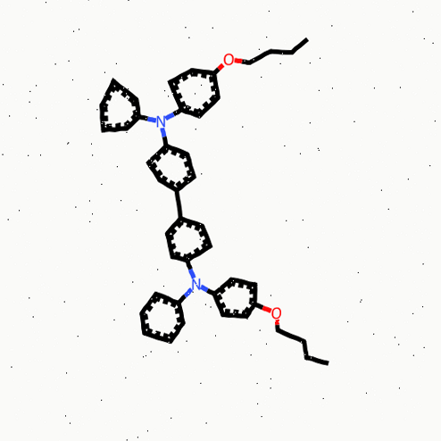 CCCCOc1ccc(N(c2ccccc2)c2ccc(-c3ccc(N(c4ccccc4)c4ccc(OCCCC)cc4)cc3)cc2)cc1